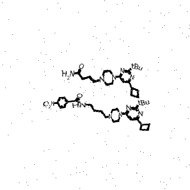 CC(C)(C)c1nc(C2CCC2)cc(N2CCN(CCCC(N)=O)CC2)n1.CC(C)(C)c1nc(C2CCC2)cc(N2CCN(CCCCNC(=O)c3ccc([N+](=O)[O-])cc3)CC2)n1